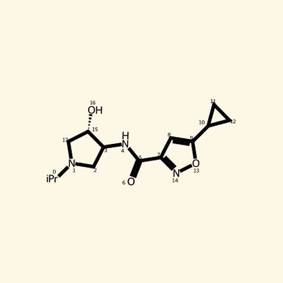 CC(C)N1CC(NC(=O)c2cc(C3CC3)on2)[C@@H](O)C1